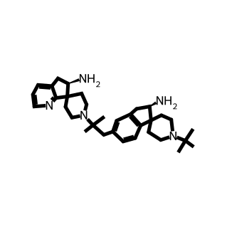 CC(C)(C)N1CCC2(CC1)c1ccc(CC(C)(C)N3CCC4(CC3)c3ncccc3C[C@H]4N)cc1C[C@H]2N